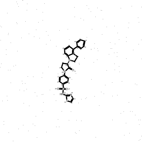 O=C1[C@H](N2CCc3c(-c4ccccc4)cccc32)CCN1c1ccc(S(=O)(=O)Nc2nccs2)cc1